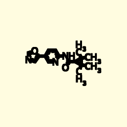 CC1(C)C(C(=O)Nc2ccc(-c3cnco3)cn2)C1(C)C